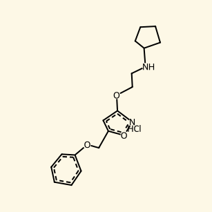 Cl.c1ccc(OCc2cc(OCCNC3CCCC3)no2)cc1